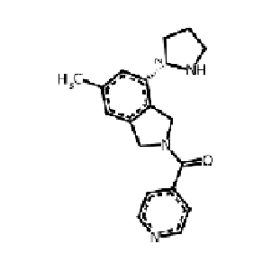 Cc1cc2c(c([C@@H]3CCCN3)c1)CN(C(=O)c1ccncc1)C2